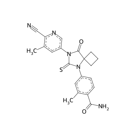 Cc1cc(N2C(=S)N(c3cnc(C#N)c(C)c3)C(=O)C23CCC3)ccc1C(N)=O